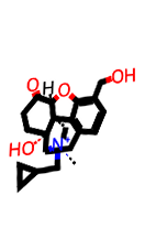 C[N@@+]1(CC2CC2)CC[C@@]23c4c5ccc(CO)c4O[C@@H]2C(=O)CC[C@]3(O)C1C5